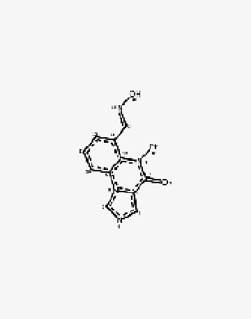 CCn1c(=O)c2cncn2c2cccc(C=NO)c21